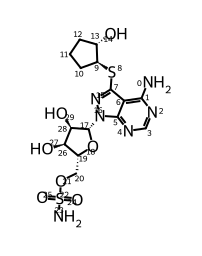 Nc1ncnc2c1c(S[C@H]1CCC[C@@H]1O)nn2[C@@H]1O[C@H](COS(N)(=O)=O)[C@@H](O)[C@H]1O